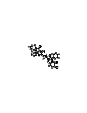 CC1(C)N=C(C23CC(N(Cc4ccc(Cl)c(F)c4)S(=O)(=O)c4ccccc4)(C2)C3)N[C@H]1C(=O)N1CC2CC2C1